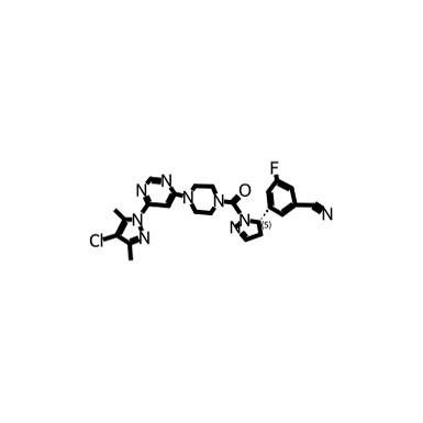 Cc1nn(-c2cc(N3CCN(C(=O)N4N=CC[C@H]4c4cc(F)cc(C#N)c4)CC3)ncn2)c(C)c1Cl